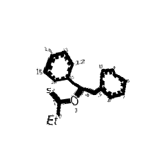 CCC(=S)OC(c1ccccc1)c1ccccc1